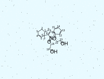 CC1CCC=CC1(C)C(=Cc1ccccc1)N(OCCO)OCCO